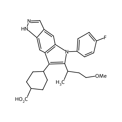 COCCC(C)c1c(C2CCC(C(=O)O)CC2)c2cc3[nH]ncc3cc2n1-c1ccc(F)cc1